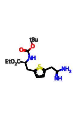 CCOC(=O)[C@H](Cc1ccc(CC(=N)N)s1)NC(=O)OC(C)(C)C